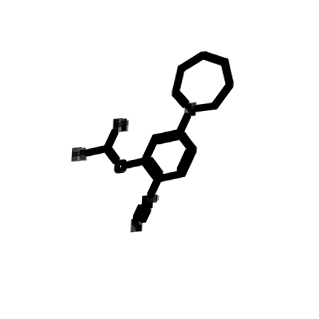 CCC(CC)Oc1cc(N2CCCCCC2)ccc1[N+]#N